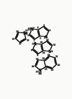 c1cc2sccc2[nH]1.c1cc2sccc2s1.c1cc[se]c1.c1ccc2[nH]ccc2c1